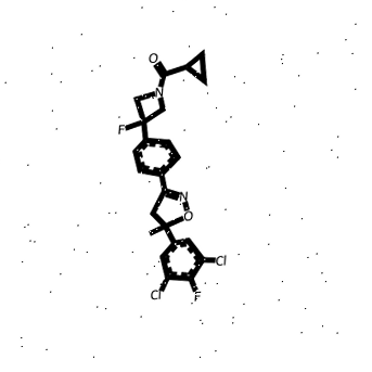 CC1(c2cc(Cl)c(F)c(Cl)c2)CC(c2ccc(C3(F)CN(C(=O)C4CC4)C3)cc2)=NO1